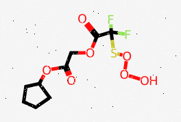 O=C(COC(=O)C(F)(F)SOOO)OC1CCCC1